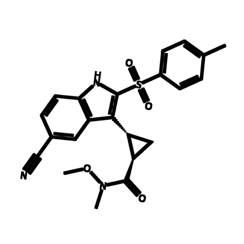 CON(C)C(=O)[C@@H]1C[C@H]1c1c(S(=O)(=O)c2ccc(C)cc2)[nH]c2ccc(C#N)cc12